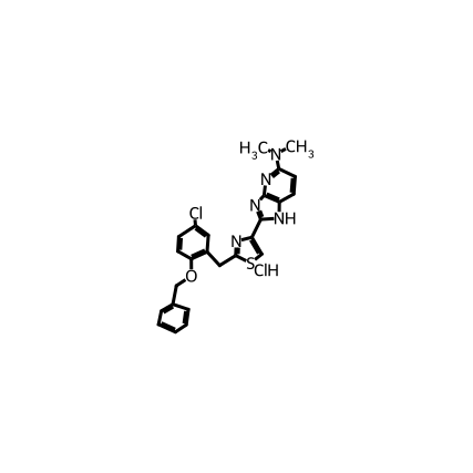 CN(C)c1ccc2[nH]c(-c3csc(Cc4cc(Cl)ccc4OCc4ccccc4)n3)nc2n1.Cl